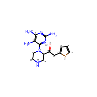 Nc1nc(N)c(N)c(N2CCNCC2C(=O)Cc2cccs2)n1